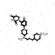 CN(CCCC1CCN(C(=O)O)CC1)C1CCN(c2ccc(Cl)c(N3CCC(=O)NC3=O)c2)CC1